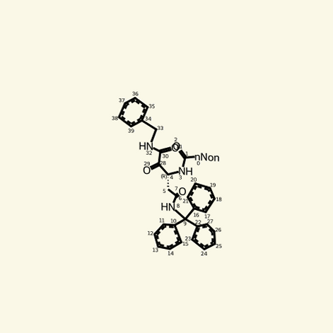 CCCCCCCCCC(=O)N[C@H](CC(=O)NC(c1ccccc1)(c1ccccc1)c1ccccc1)C(=O)C(=O)NCc1ccccc1